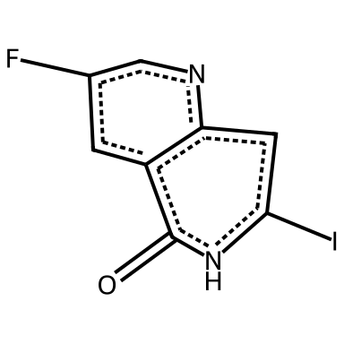 O=c1[nH]c(I)cc2ncc(F)cc12